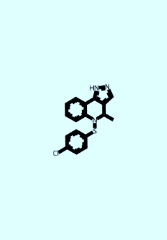 CC1c2cn[nH]c2-c2ccccc2N1Sc1ccc(Cl)cc1